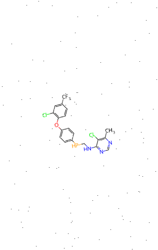 Cc1ncnc(NCPc2ccc(Oc3ccc(C(F)(F)F)cc3Cl)cc2)c1Cl